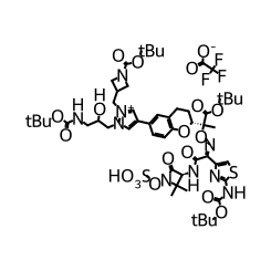 CC(C)(C)OC(=O)NCC(O)Cn1cc(-c2ccc3c(c2)CC[C@H](C(C)(O/N=C(\C(=O)N[C@@H]2C(=O)N(OS(=O)(=O)O)C2(C)C)c2csc(NC(=O)OC(C)(C)C)n2)C(=O)OC(C)(C)C)O3)c[n+]1CC1CN(C(=O)OC(C)(C)C)C1.O=C([O-])C(F)(F)F